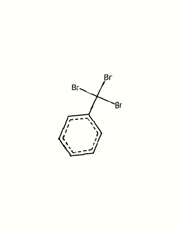 BrC(Br)(Br)c1ccccc1